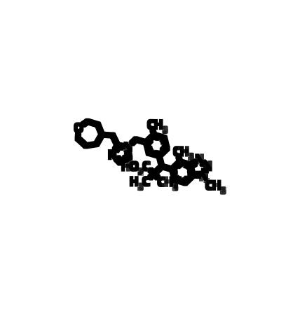 Cc1ccc(C(c2ccc3c(nnn3C)c2C)C(C)(C)C(=O)O)cc1Cn1ccnc1CC1CCCOCC1